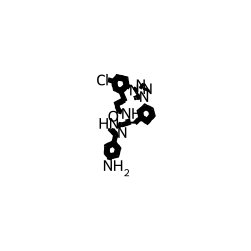 Nc1ccc(-c2c[nH]c([C@H](Cc3ccccc3)NC(=O)/C=C/c3cc(Cl)ccc3-n3cnnn3)n2)cc1